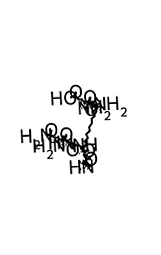 CN[C@@H](C)C(=O)CC(=O)[C@](C)(CCCCCCCCCCC[C@@](C)(N)C(=O)C(=O)[C@@H](N)CCC(=O)O)NC(=O)CNC(=O)[C@@H](N)CCC(N)=O